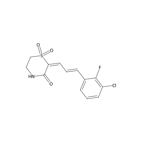 O=C1NCCS(=O)(=O)/C1=C/C=C/c1cccc(Cl)c1F